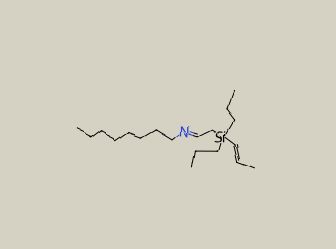 CC=C[Si](CC=NCCCCCCCC)(CCC)CCC